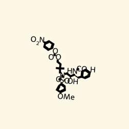 COc1ccc(S(=O)(=O)N(C[C@H](O)[C@H](Cc2ccccc2)NC(=O)O)CC(C)(C)CCOC(=O)Oc2ccc([N+](=O)[O-])cc2)cc1